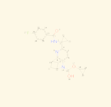 O=C(NC1(c2ccc3c(n2)C2CC(C2)N3C(O)OC2CC2)CC1)c1ccc(F)cc1